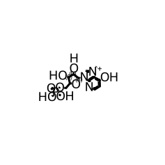 C[n+]1cn([C@@H]2OC(COP(=O)(O)O)[C@@H](O)[C@H]2O)c2nccc(O)c21